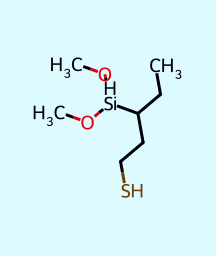 CCC(CCS)[SiH](OC)OC